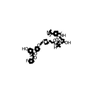 Cc1ncsc1-c1ccc([C@H](C)NC(=O)C2CC(O)CN2C(=O)C(NC(=O)CCN2CCN(CCOc3ccc(Oc4c(C(=O)c5cccc(F)c5)sc5cc(O)ccc45)cc3)CC2)C(C)(C)C)cc1